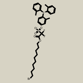 Cc1ccccc1[S+](c1ccccc1C)c1ccccc1C.O=C(OCCCCCCCCCCBr)C(F)(F)S(=O)(=O)[O-]